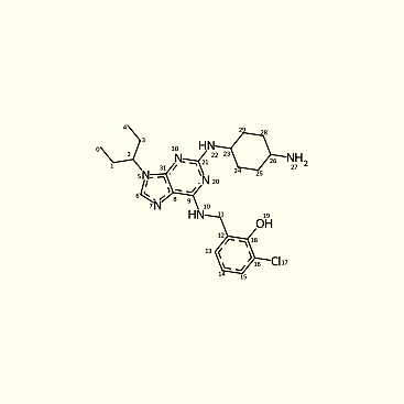 CCC(CC)n1cnc2c(NCc3cccc(Cl)c3O)nc(NC3CCC(N)CC3)nc21